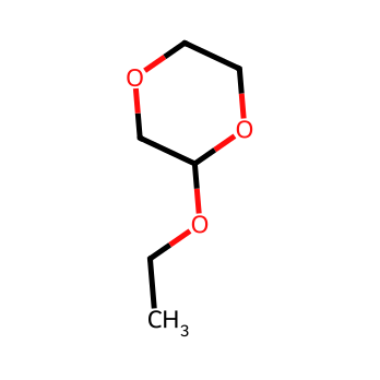 CCOC1COCCO1